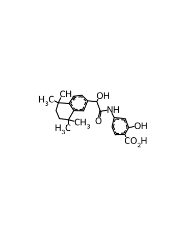 CC1(C)CCC(C)(C)c2cc(C(O)C(=O)Nc3ccc(C(=O)O)c(O)c3)ccc21